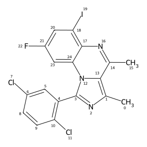 Cc1nc(-c2cc(Cl)ccc2Cl)n2c1c(C)nc1c(I)cc(F)cc12